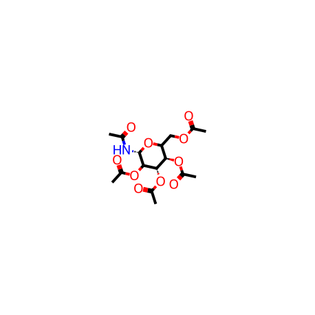 CC(=O)N[C@@H]1OC(COC(C)=O)[C@@H](OC(C)=O)[C@H](OC(C)=O)C1OC(C)=O